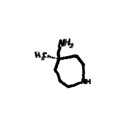 C[C@@]1(N)CCCNCC1